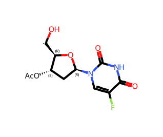 CC(=O)O[C@H]1C[C@H](n2cc(F)c(=O)[nH]c2=O)O[C@@H]1[CH]O